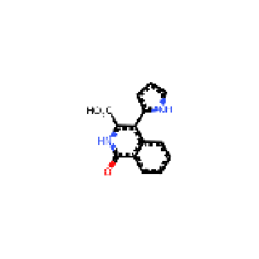 O=C(O)c1[nH]c(=O)c2ccccc2c1-c1ccc[nH]1